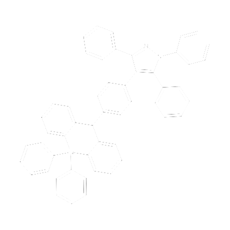 c1ccc(-c2nn(-c3ccccc3)c(-c3ccccc3)c2-c2ccc(C3c4ccccc4[Si](c4ccccc4)(c4ccccc4)c4ccccc43)cc2)cc1